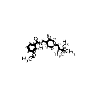 COc1cccc(C(=O)NCC2CCN(CCC(C)(C)C)CC2F)c1